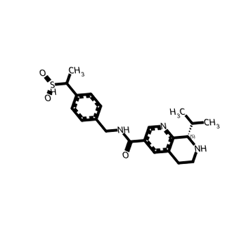 CC(C)[C@@H]1NCCc2cc(C(=O)NCc3ccc(C(C)[SH](=O)=O)cc3)cnc21